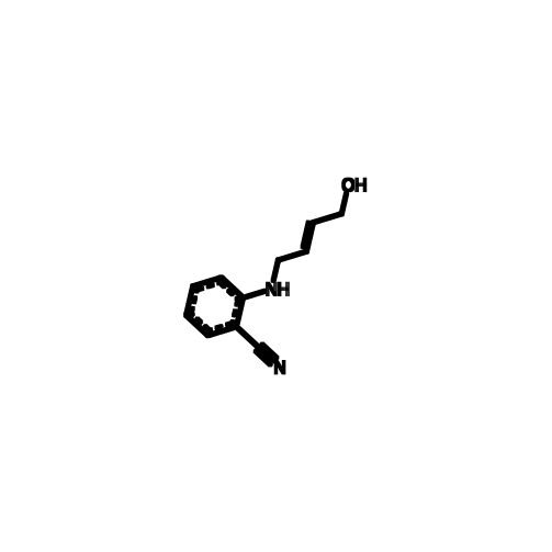 N#Cc1ccccc1NCC=CCO